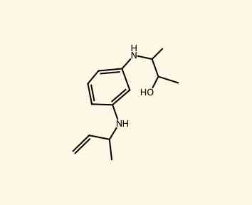 C=CC(C)Nc1cccc(NC(C)C(C)O)c1